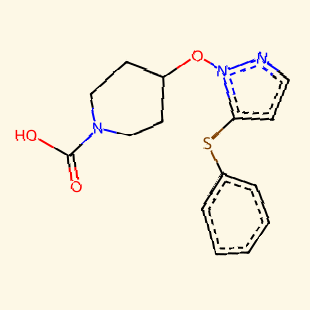 O=C(O)N1CCC(On2nccc2Sc2ccccc2)CC1